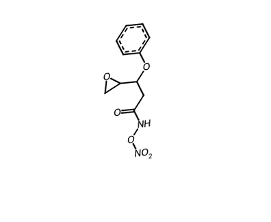 O=C(CC(Oc1ccccc1)C1CO1)NO[N+](=O)[O-]